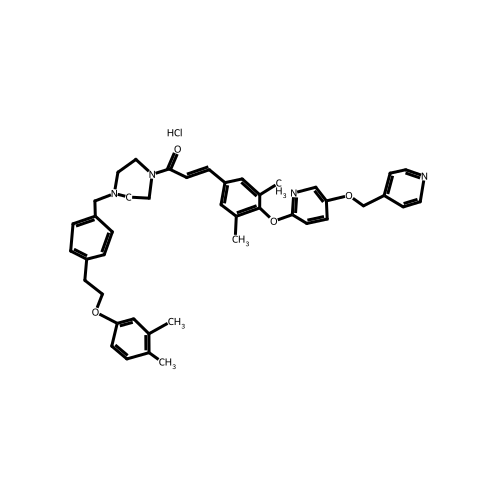 Cc1ccc(OCCc2ccc(CN3CCN(C(=O)C=Cc4cc(C)c(Oc5ccc(OCc6ccncc6)cn5)c(C)c4)CC3)cc2)cc1C.Cl